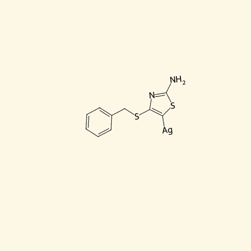 Nc1nc(SCc2ccccc2)[c]([Ag])s1